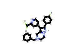 Fc1ccc(-c2nn3c(c2-c2ccnc(C(F)F)c2)CN(Cc2ccccc2)CC3)cc1